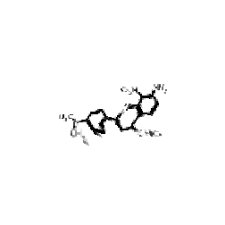 CN(C)c1ccc(C2=CC(C=O)c3ccc(N)c([N+](=O)[O-])c3O2)cc1